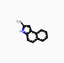 O=[N+]([O-])c1cc2c(ccc3ccccc32)[nH]1